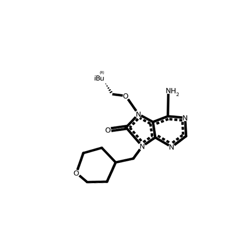 CC[C@@H](C)COn1c(=O)n(CC2CCOCC2)c2ncnc(N)c21